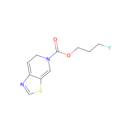 O=C(OCCCF)N1C=c2scnc2=CC1